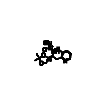 CC1(C)OC[C@H](C(Cc2ncccc2F)N[S+]([O-])C(C)(C)C)O1